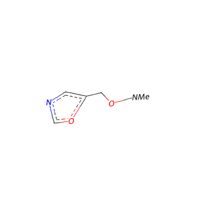 CNOCc1cnco1